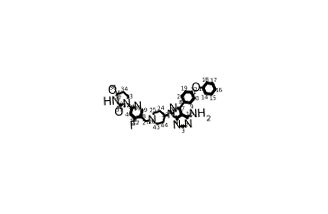 Nc1ncnc2c1c(-c1ccc(Oc3ccccc3)cc1)nn2C1CCN(Cc2cnc(N3CCC(=O)NC3=O)cc2F)CC1